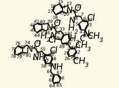 CN(C)c1ccc(CC(N)C(=O)N2Cc3ccccc3C2)c(Cl)c1.Cc1ccc(-c2ccc(CC(N)C(=O)N3Cc4ccccc4C3)c(Cl)c2)c(C)c1.NC(Cc1ccc(NCc2ccccc2)cc1Cl)C(=O)N1Cc2ccccc2C1